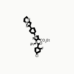 CCOC(=O)c1cn(-c2ccc(-c3cc4ncccn4n3)cc2)nc1N(C(=O)c1ccc(Cl)cc1F)C(C)C